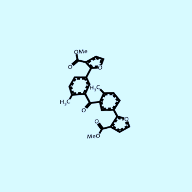 COC(=O)c1ccoc1-c1ccc(C)c(C(=O)c2cc(-c3occc3C(=O)OC)ccc2C)c1